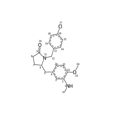 CNc1cc(CC2CCC(=O)N2Cc2ccc(Cl)cc2)ccc1OC